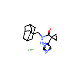 Cl.O=C(NCC12CC3CC(CC(C3)C1)C2)C1(c2cnc[nH]2)CC1